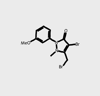 COc1cccc(-n2c(=O)c(Br)c(CBr)n2C)c1